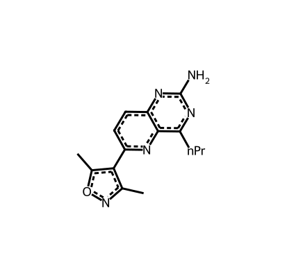 CCCc1nc(N)nc2ccc(-c3c(C)noc3C)nc12